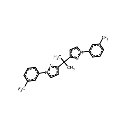 CC(C)(c1ccn(-c2cccc(C(F)(F)F)c2)n1)c1ccn(-c2cccc(C(F)(F)F)c2)n1